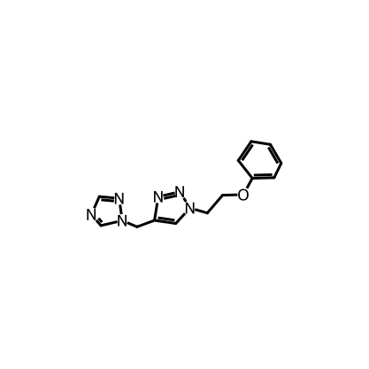 c1ccc(OCCn2cc(Cn3cncn3)nn2)cc1